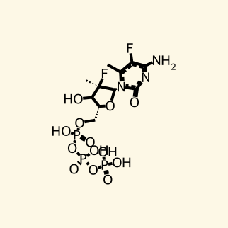 Cc1c(F)c(N)nc(=O)n1[C@@H]1O[C@H](COP(=O)(O)OP(=O)(O)OP(=O)(O)O)C(O)[C@@]1(C)F